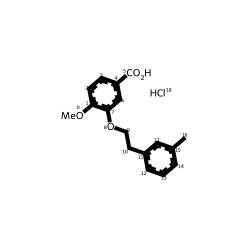 COc1ccc(C(=O)O)cc1OCCc1cccc(C)c1.Cl